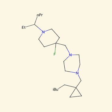 CCCC(CC)N1CCC(F)(CN2CCN(CC3(CC(C)CC)CC3)CC2)CC1